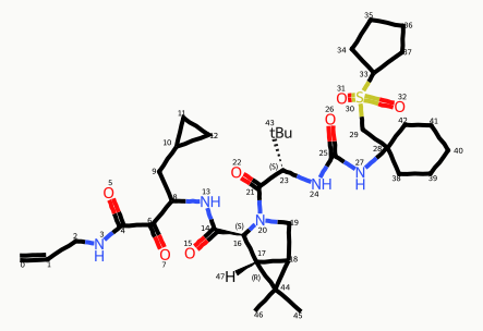 C=CCNC(=O)C(=O)C(CC1CC1)NC(=O)[C@@H]1[C@@H]2C(CN1C(=O)[C@@H](NC(=O)NC1(CS(=O)(=O)C3CCCC3)CCCCC1)C(C)(C)C)C2(C)C